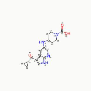 O=C(c1c[nH]c2ncc(NC3CCN(C(=O)O)CC3)cc12)C1CC1